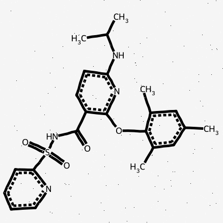 Cc1cc(C)c(Oc2nc(NC(C)C)ccc2C(=O)NS(=O)(=O)c2ccccn2)c(C)c1